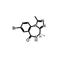 Cc1nnc2n1-c1ccc(Br)cc1C(=O)N[C@H]2C